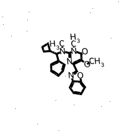 COc1c(-c2nc3ccccc3o2)nc(N(C)C(c2ccccc2)C2CCC2)n(C)c1=O